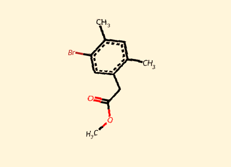 COC(=O)Cc1cc(Br)c(C)cc1C